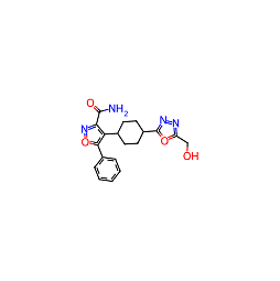 NC(=O)c1noc(-c2ccccc2)c1C1CCC(c2nnc(CO)o2)CC1